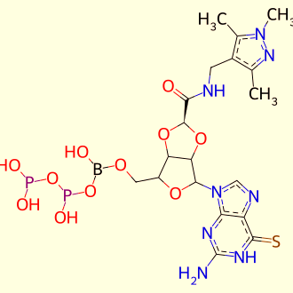 Cc1nn(C)c(C)c1CNC(=O)[C@@H]1OC2C(COB(O)OP(O)OP(O)O)OC(n3cnc4c(=S)[nH]c(N)nc43)C2O1